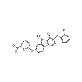 Cn1c2cc(Oc3cccc([N+](=O)[O-])n3)ccc2c2cnn(Cc3ccccc3F)c(=O)c21